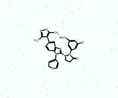 COc1cc(Cl)cc(N2C(=O)CC[C@H]2c2nc3cc(-c4c(C)noc4C)ccc3n2C2=CCSC=C2)c1